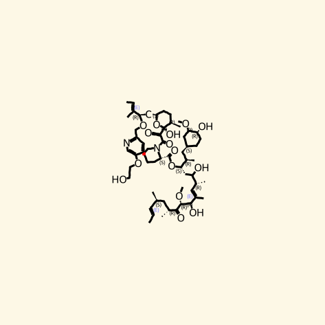 C/C=C/[C@@H](C)C[C@@H](C)C(=O)[C@H](OC)[C@H](O)/C(C)=C/[C@@H](C)C(O)C[C@H](OC(=O)[C@@H]1CCCCN1C(=O)C(=O)[C@]1(O)O[C@H](C[C@@H](OCc2ccc(OCCO)cn2)/C(C)=C/C)CC[C@H]1C)[C@H](C)C[C@@H]1CC[C@@H](O)[C@H](OC)C1